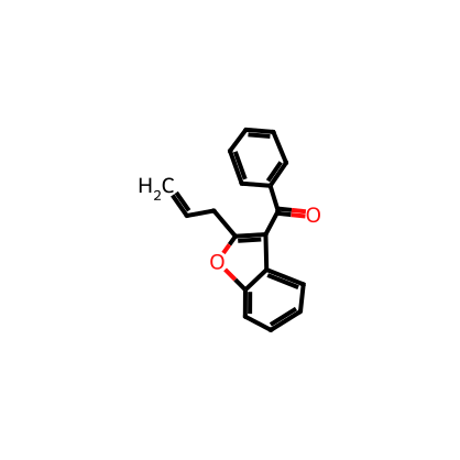 C=CCc1oc2ccccc2c1C(=O)c1ccccc1